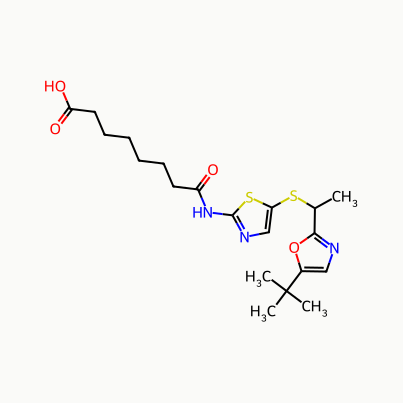 CC(Sc1cnc(NC(=O)CCCCCCC(=O)O)s1)c1ncc(C(C)(C)C)o1